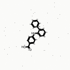 O=C(O)c1ccc(Nc2ccccc2-c2ccccc2)cc1